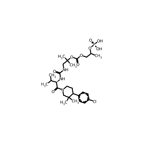 CC(COC(=O)OC(C)(C)CNC(=O)N[C@@H](C(=O)N1CCC(c2ccc(Cl)cc2)C(C)(C)C1)C(C)C)OP(=O)(O)O